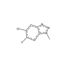 Cn1nnc2cc(Cl)c(F)cc21